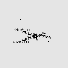 CCCCCCOCC(O)COCCN(CCOCC(O)COCCCCCC)c1ccc(/N=N/c2ncc([N+](=O)[O-])s2)c(C)c1